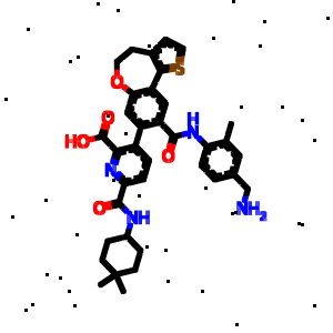 Cc1cc(CN)ccc1NC(=O)c1cc2c(cc1-c1ccc(C(=O)NC3CCC(C)(C)CC3)nc1C(=O)O)OCCc1ccsc1-2